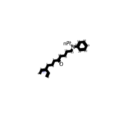 C=C/C(=C\C)CCCC(=O)CCCCN(CCC)c1ccccc1